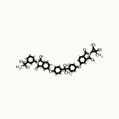 CCC1C(N2C(=O)c3ccc(Oc4ccc(C(C)(C)c5ccc(Oc6ccc7c(c6)C(=O)N(c6cccc(C(C)(CC)CC)c6)C7=O)cc5)cc4)cc3C2=O)C1(C)CC